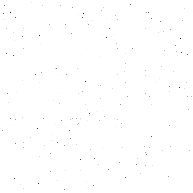 N#Cc1ccc2c(c1)c1ccccc1n2-c1ccc(-c2ccccc2-c2cccc(-c3c4ccccc4c(-c4ccccc4)c4ccccc34)c2)cc1C#N